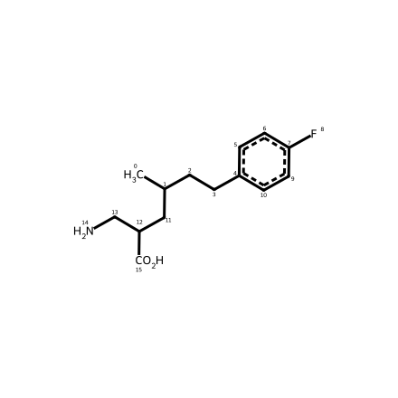 CC(CCc1ccc(F)cc1)CC(CN)C(=O)O